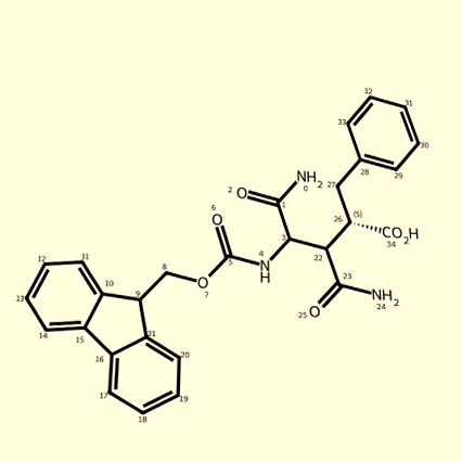 NC(=O)C(NC(=O)OCC1c2ccccc2-c2ccccc21)C(C(N)=O)[C@H](Cc1ccccc1)C(=O)O